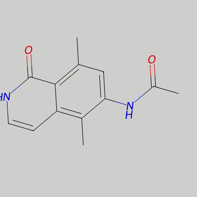 CC(=O)Nc1cc(C)c2c(=O)[nH]ccc2c1C